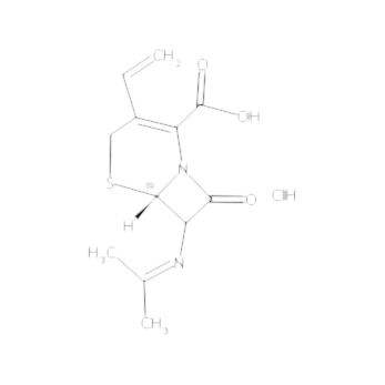 C=CC1=C(C(=O)O)N2C(=O)C(N=C(C)C)[C@@H]2SC1.Cl